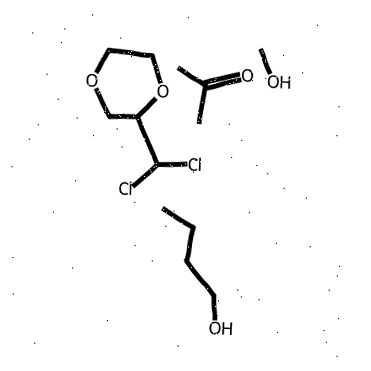 CC(C)=O.CCCCO.CO.ClC(Cl)C1COCCO1